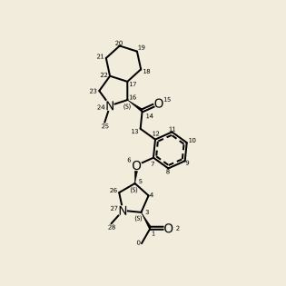 CC(=O)[C@@H]1C[C@H](Oc2ccccc2CC(=O)[C@@H]2C3CCCCC3CN2C)CN1C